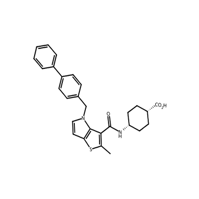 Cc1sc2ccn(Cc3ccc(-c4ccccc4)cc3)c2c1C(=O)N[C@H]1CC[C@@H](C(=O)O)CC1